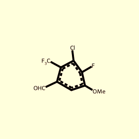 COc1cc(C=O)c(C(F)(F)F)c(Cl)c1F